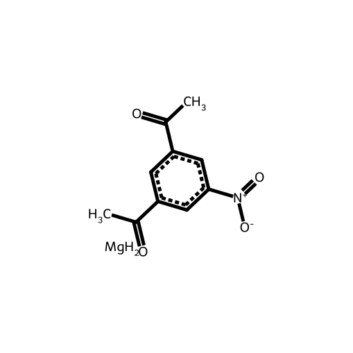 CC(=O)c1cc(C(C)=O)cc([N+](=O)[O-])c1.[MgH2]